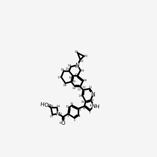 O=C(c1ccc(-c2c[nH]c3ncc(-c4cc5c6c(c4)CN(C4CC4)CC6CCC5)cc23)cc1)N1CC(O)C1